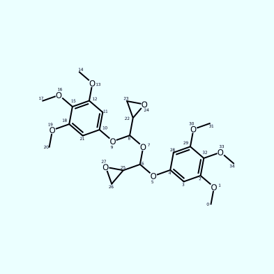 COc1cc(OC(OC(Oc2cc(OC)c(OC)c(OC)c2)C2CO2)C2CO2)cc(OC)c1OC